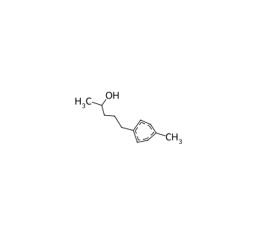 Cc1ccc(CCCC(C)O)cc1